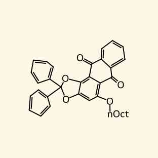 CCCCCCCCOc1cc2c(c3c1C(=O)c1ccccc1C3=O)OC(c1ccccc1)(c1ccccc1)O2